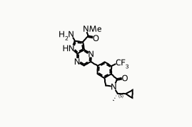 CNC(=O)c1c(N)[nH]c2ncc(-c3cc4c(c(C(F)(F)F)c3)C(=O)N([C@@H](C)C3CC3)C4)nc12